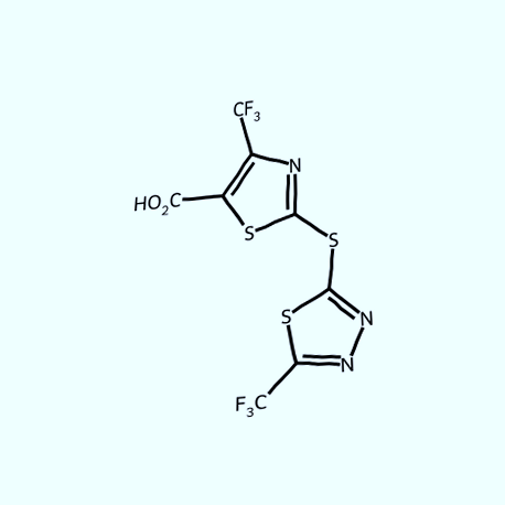 O=C(O)c1sc(Sc2nnc(C(F)(F)F)s2)nc1C(F)(F)F